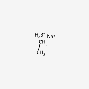 CC.[BH4-].[Na+]